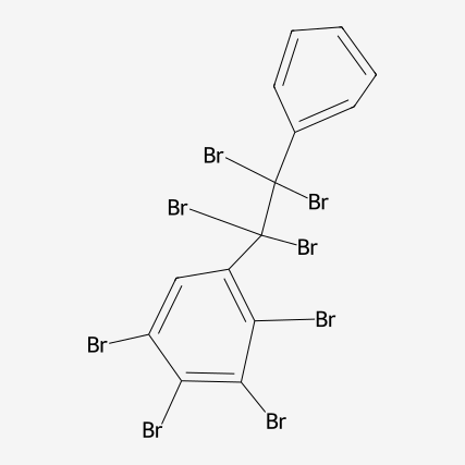 Brc1cc(C(Br)(Br)C(Br)(Br)c2ccccc2)c(Br)c(Br)c1Br